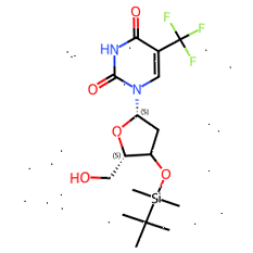 CC(C)(C)[Si](C)(C)OC1C[C@@H](n2cc(C(F)(F)F)c(=O)[nH]c2=O)O[C@H]1CO